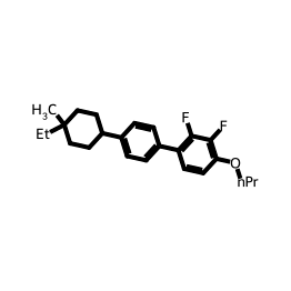 CCCOc1ccc(-c2ccc(C3CCC(C)(CC)CC3)cc2)c(F)c1F